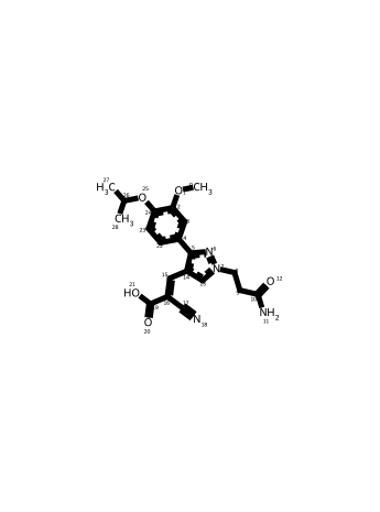 COc1cc(-c2nn(CCC(N)=O)cc2/C=C(\C#N)C(=O)O)ccc1OC(C)C